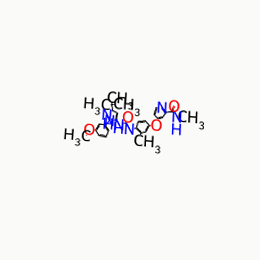 CNC(=O)c1cc(Oc2ccc(NC(=O)Nc3cc(C(C)(C)C)nn3-c3cccc(OC)c3)c(C)c2)ccn1